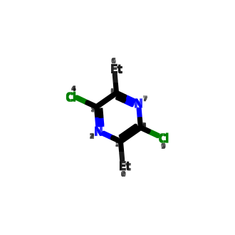 CCc1nc(Cl)c(CC)nc1Cl